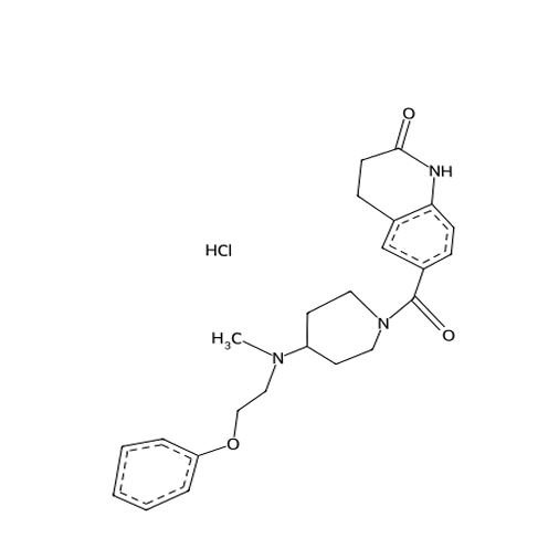 CN(CCOc1ccccc1)C1CCN(C(=O)c2ccc3c(c2)CCC(=O)N3)CC1.Cl